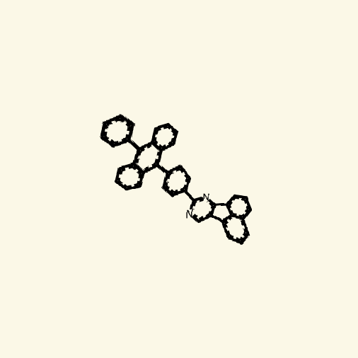 c1ccc(-c2c3ccccc3c(-c3ccc(-c4ncc5c(n4)-c4cccc6cccc-5c46)cc3)c3ccccc23)cc1